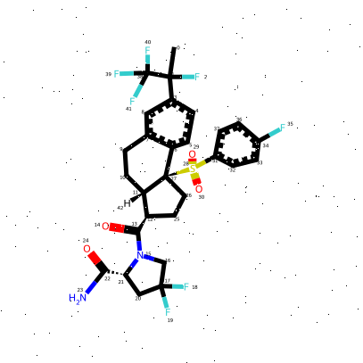 CC(F)(c1ccc2c(c1)CC[C@H]1[C@H](C(=O)N3CC(F)(F)C[C@@H]3C(N)=O)CC[C@@]21S(=O)(=O)c1ccc(F)cc1)C(F)(F)F